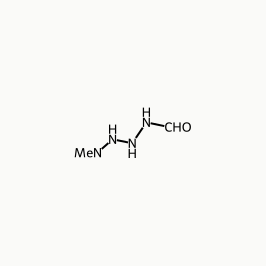 CNNNNC=O